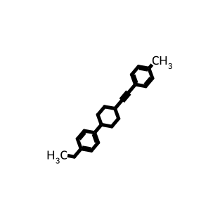 CCc1ccc(C2CCC(C#Cc3ccc(C)cc3)CC2)cc1